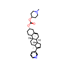 CN1CCC(OC(=O)O[C@H]2CC[C@@]3(C)C(=CC[C@@H]4[C@@H]3CC[C@]3(C)C(c5cccnc5)=CC[C@@H]43)C2)CC1